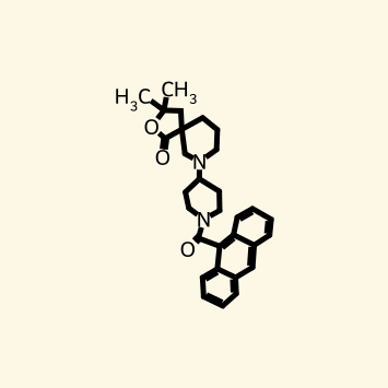 CC1(C)CC2(CCCN(C3CCN(C(=O)c4c5ccccc5cc5ccccc45)CC3)C2)C(=O)O1